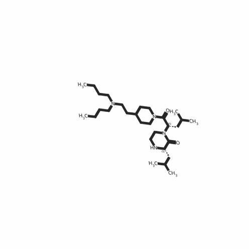 CCCCN(CCCC)CCC1CCN(C(=O)[C@H](CC(C)C)N2CCN[C@@H](CC(C)C)C2=O)CC1